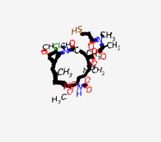 COc1cc2cc(c1Cl)N(C)C(=O)CC[C@@]1(C)[C@H](OC(=O)[C@H](C)N(C)C(=O)CCS)O[C@H]1[C@H](C)[C@@H]1C[C@@](O)(NC(=O)O1)[C@H](OC)/C=C/C=C(\C)C2